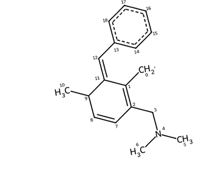 [CH2]C1=C(CN(C)C)C=CC(C)C1=Cc1ccccc1